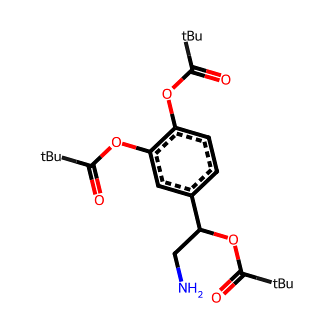 CC(C)(C)C(=O)Oc1ccc(C(CN)OC(=O)C(C)(C)C)cc1OC(=O)C(C)(C)C